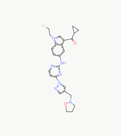 O=C(c1cn(CCF)c2ccc(Nc3nccc(-n4cc(CN5CCCO5)cn4)n3)cc12)C1CC1